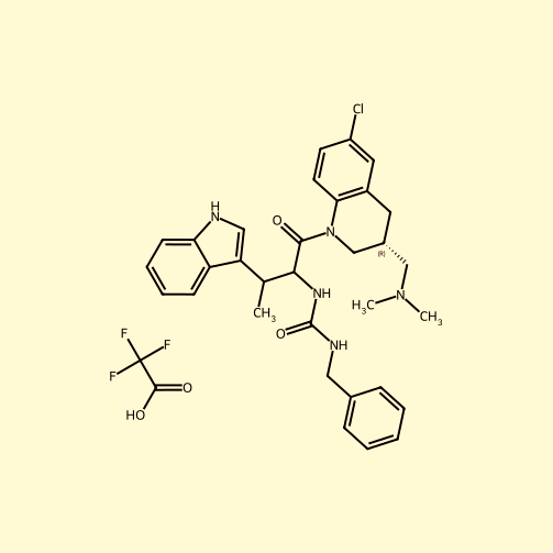 CC(c1c[nH]c2ccccc12)C(NC(=O)NCc1ccccc1)C(=O)N1C[C@@H](CN(C)C)Cc2cc(Cl)ccc21.O=C(O)C(F)(F)F